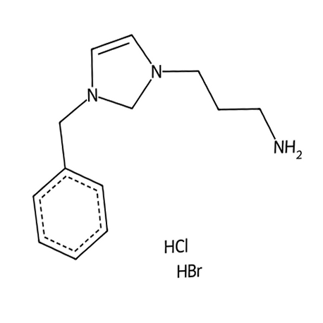 Br.Cl.NCCCN1C=CN(Cc2ccccc2)C1